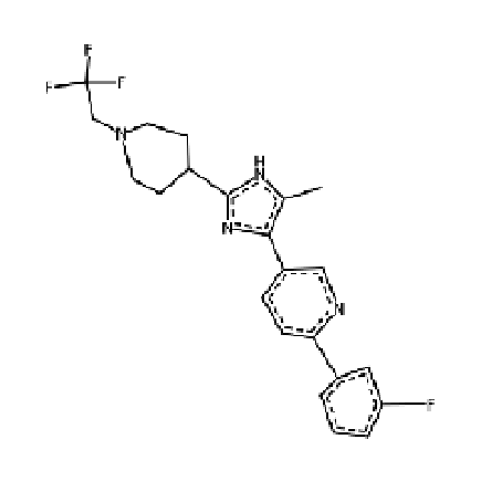 Cc1[nH]c(C2CCN(CC(F)(F)F)CC2)nc1-c1ccc(-c2cccc(F)c2)nc1